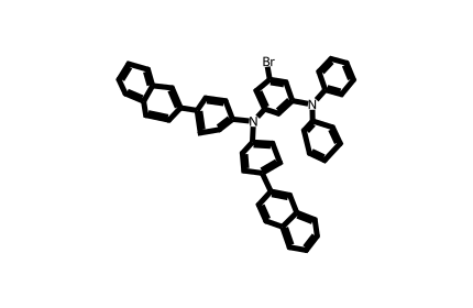 Brc1cc(N(c2ccccc2)c2ccccc2)cc(N(c2ccc(-c3ccc4ccccc4c3)cc2)c2ccc(-c3ccc4ccccc4c3)cc2)c1